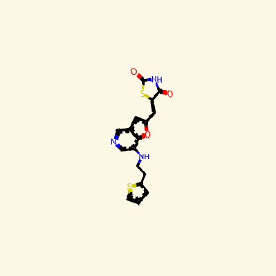 O=C1NC(=O)/C(=C/c2cc3cncc(NCCc4cccs4)c3o2)S1